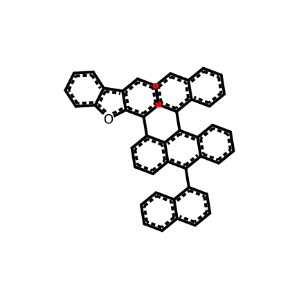 c1ccc2c(-c3c4ccccc4c(-c4cccc5ccccc45)c4c(-c5cccc6c5oc5ccccc56)cccc34)cccc2c1